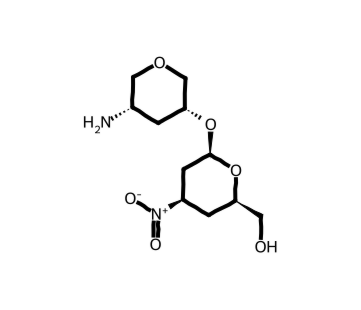 N[C@@H]1COC[C@H](O[C@@H]2C[C@H]([N+](=O)[O-])C[C@H](CO)O2)C1